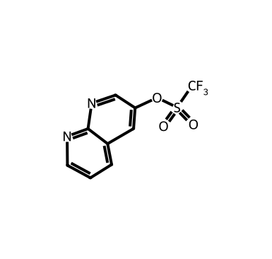 O=S(=O)(Oc1cnc2ncccc2c1)C(F)(F)F